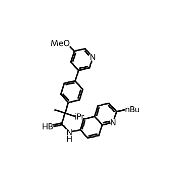 B=C(Nc1ccc2nc(CCCC)ccc2c1)C(C)(c1ccc(-c2cncc(OC)c2)cc1)C(C)C